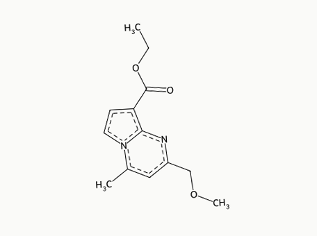 CCOC(=O)c1ccn2c(C)cc(COC)nc12